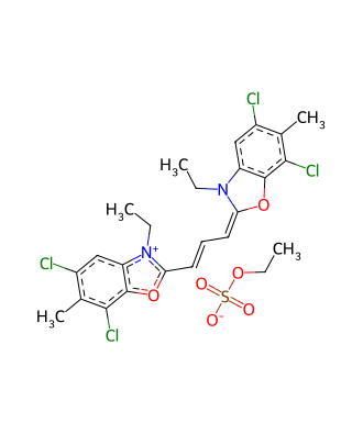 CCN1C(=CC=Cc2oc3c(Cl)c(C)c(Cl)cc3[n+]2CC)Oc2c1cc(Cl)c(C)c2Cl.CCOS(=O)(=O)[O-]